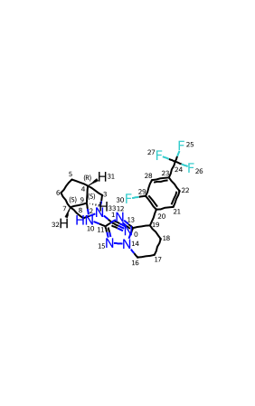 N#CN1C[C@H]2CC[C@@H](C1)[C@@H]2Nc1nc2n(n1)CCCC2c1ccc(C(F)(F)F)cc1F